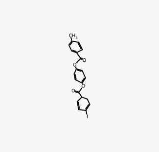 Cc1ccc(C(=O)Oc2ccc(OC(=O)C3C=CC(I)=CC3)cc2)cc1